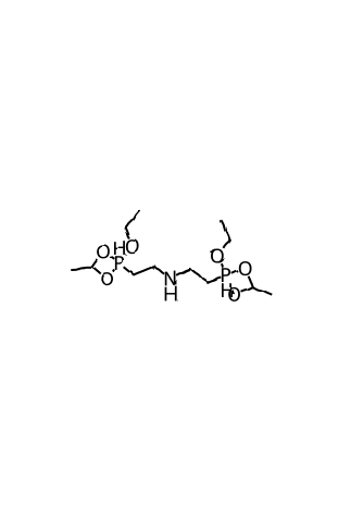 CCO[PH]1(CCNCC[PH]2(OCC)OC(C)O2)OC(C)O1